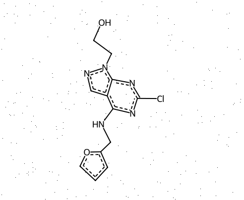 OCCn1ncc2c(NCc3ccco3)nc(Cl)nc21